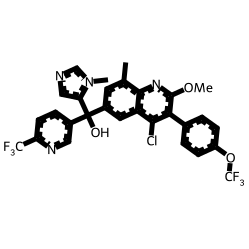 COc1nc2c(C)cc(C(O)(c3ccc(C(F)(F)F)nc3)c3cncn3C)cc2c(Cl)c1-c1ccc(OC(F)(F)F)cc1